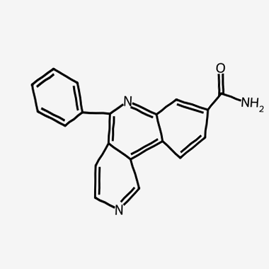 NC(=O)c1ccc2c(c1)nc(-c1ccccc1)c1ccncc12